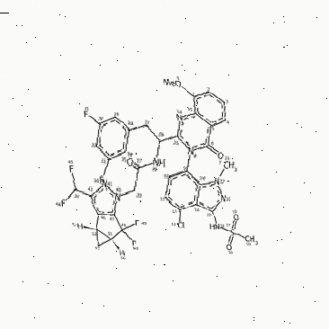 COc1cccc2c(=O)n(-c3ccc(Cl)c4c(NS(C)(=O)=O)nn(C)c34)c(C(Cc3cc(F)cc(F)c3)NC(=O)Cn3nc(C(F)F)c4c3C(F)(F)[C@@H]3C[C@H]43)nc12